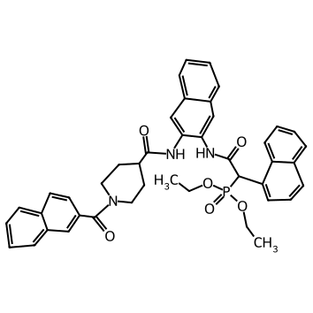 CCOP(=O)(OCC)C(C(=O)Nc1cc2ccccc2cc1NC(=O)C1CCN(C(=O)c2ccc3ccccc3c2)CC1)c1cccc2ccccc12